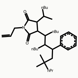 C=CCN1C(=O)C(C(C)CCCC)C(C(CCCC)C(CCCC)C(CC(C)(C)CCC)c2ccccc2)C1=O